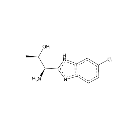 C[C@@H](O)[C@H](N)c1nc2ccc(Cl)cc2[nH]1